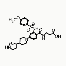 COc1ccc(S(=O)(=O)Nc2cc(N3CCC(C4CCNCC4)CC3)ccc2C(=O)NCCC(=O)O)cc1